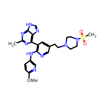 COc1ccc(Nc2ncc(CCN3CCN(S(C)(=O)=O)CC3)cc2-c2nc(C)nc3[nH]cnc23)cn1